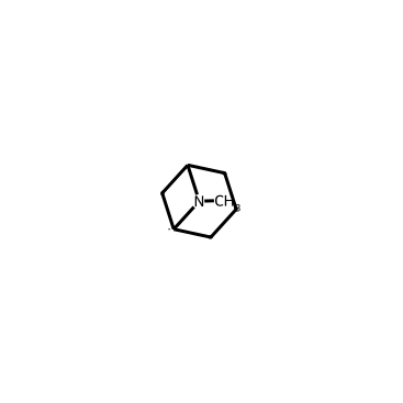 CN1[C]2CCCC1C2